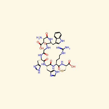 N=C(N)NCCC[C@H](NC(=O)[C@H](Cc1c[nH]cn1)NC(=O)[C@H](Cc1c[nH]cn1)NC(=O)CNC(=O)[C@H](Cc1c[nH]c2ccccc12)NC(=O)[C@@H](N)CC(=O)O)C(=O)N[C@@H](CS)C(=O)O